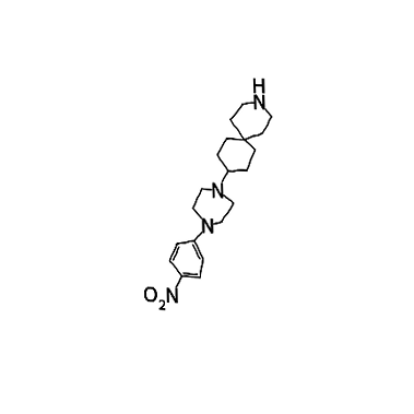 O=[N+]([O-])c1ccc(N2CCN(C3CCC4(CCNCC4)CC3)CC2)cc1